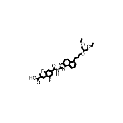 CCOCC(COCC)OCCCc1cccc2c1CCc1sc(NC(=O)c3cc(F)c(C=C(C)C(=O)O)c(F)c3)nc1-2